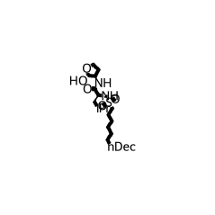 CCCCCCCCCCCCCCCCS(=O)(=O)N[C@@H](CC(C)C)C(=O)N[C@H]1CCOC1O